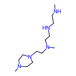 CNCCNCCN(C)CCN1CCN(C)CC1